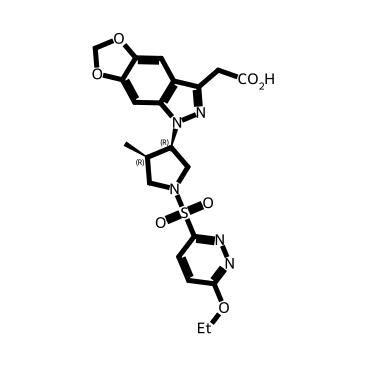 CCOc1ccc(S(=O)(=O)N2C[C@@H](C)[C@@H](n3nc(CC(=O)O)c4cc5c(cc43)OCO5)C2)nn1